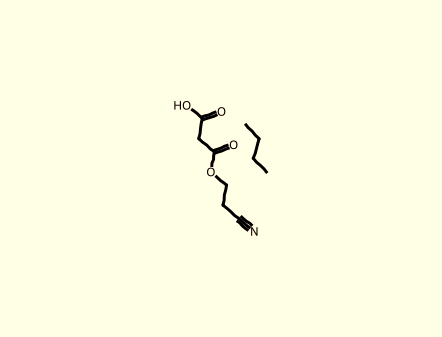 CCCC.N#CCCOC(=O)CC(=O)O